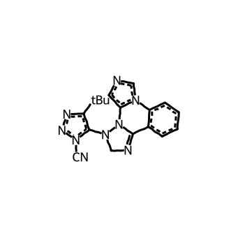 CC(C)(C)c1nnn(C#N)c1N1CN=C2c3ccccc3-n3cncc3N21